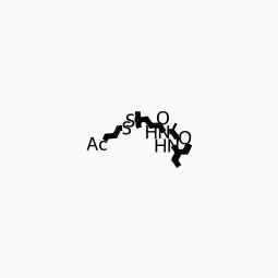 C=C/C(=C\C)NC(=O)[C@H](C)NC(=O)CCC(C)(C)SSCCCC(C)=O